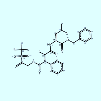 C=C(COC(=O)N(c1ccccc1)C(C)C(=O)N[C@@H](CC(C)C)C(=O)OCc1ccccc1)S(=O)(=O)C(C)(C)C